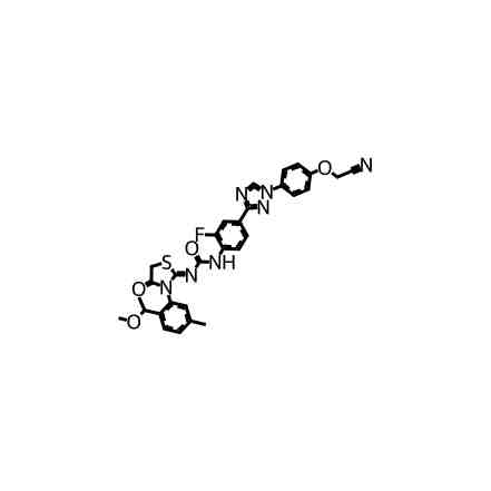 COC(C)c1ccc(C)cc1N1C(=O)CSC1=NC(=O)Nc1ccc(-c2ncn(-c3ccc(OCC#N)cc3)n2)cc1F